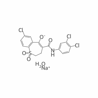 O.O=C(Nc1ccc(Cl)c(Cl)c1)C1=C([O-])c2cc(Cl)ccc2S(=O)(=O)CC1.[Na+]